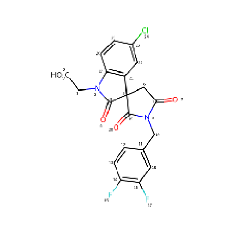 O=C(O)CN1C(=O)C2(CC(=O)N(Cc3ccc(F)c(F)c3)C2=O)c2cc(Cl)ccc21